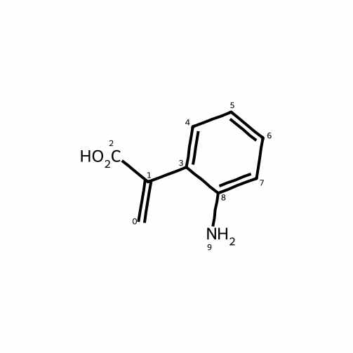 C=C(C(=O)O)c1ccccc1N